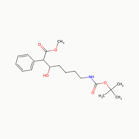 COC(=O)C(c1ccccc1)C(O)CCCCNC(=O)OC(C)(C)C